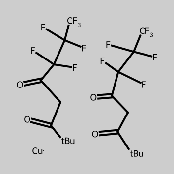 CC(C)(C)C(=O)CC(=O)C(F)(F)C(F)(F)C(F)(F)F.CC(C)(C)C(=O)CC(=O)C(F)(F)C(F)(F)C(F)(F)F.[Cu]